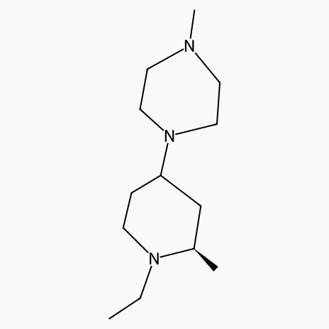 CCN1CCC(N2CCN(C)CC2)C[C@H]1C